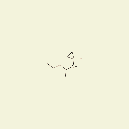 CCCC(C)NC1(C)CC1